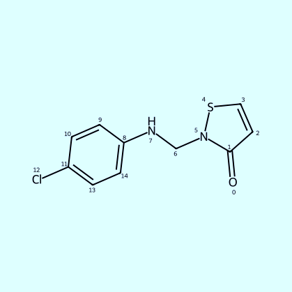 O=c1ccsn1CNc1ccc(Cl)cc1